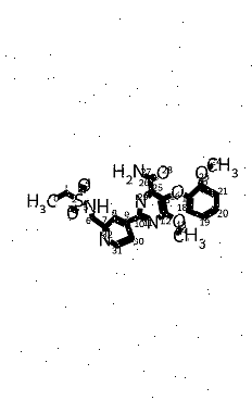 CCS(=O)(=O)NCc1cc(-c2nc(OC)c(Oc3ccccc3OC)c(C(N)=O)n2)ccn1